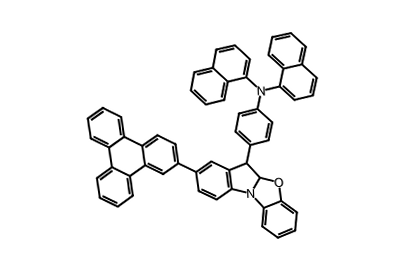 c1ccc2c(c1)OC1C(c3ccc(N(c4cccc5ccccc45)c4cccc5ccccc45)cc3)c3cc(-c4ccc5c6ccccc6c6ccccc6c5c4)ccc3N21